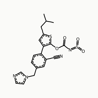 CC(C)Cc1cc(-c2ccc(Cn3ccnc3)cc2C#N)c(OC(=O)N=S(=O)=O)s1